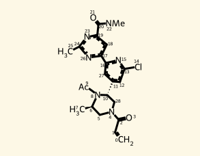 C=CC(=O)N1C[C@@H](C)N(C(C)=O)[C@H](c2cc(Cl)nc(-c3cc(C(=O)NC)nc(C)n3)c2)C1